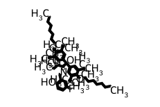 CCCCCCCCOc1c(C(C)(C)C)cc(C(O)(c2cc(C(C)(C)C)c(OCCCCCCCC)c(C(C)(C)C)c2)C(N=Cc2cc(F)ccc2O)C(C)CC)cc1C(C)(C)C